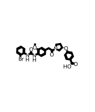 COc1cc(CC(=O)N2CC[C@H](Oc3ccc(C(=O)O)cc3)C2)ccc1NC(=O)Nc1ccccc1Br